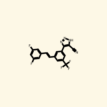 N#Cc1[nH]nnc1-c1cc(/C=C/c2cc(F)cc(F)c2)cc(C(F)(F)F)c1